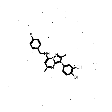 Cc1cc(NCc2ccc(F)cc2)n2nc(C)c(-c3ccc(O)c(O)c3)c2n1